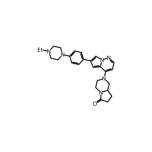 CCN1CCN(c2ccc(-c3cc4c(N5CCN6C(=O)CCC6C5)ccnn4c3)cc2)CC1